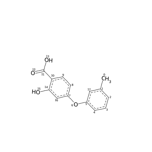 Cc1cccc(Oc2ccc(C(=O)O)c(O)c2)c1